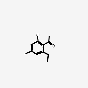 CCc1cc(I)cc(Cl)c1C(C)=O